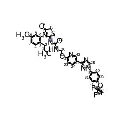 CCCc1ccc(C)cc1N1C(=O)CS/C1=N\C(=O)NCOc1ccc(-c2ncn(-c3ccc(OC(F)(F)F)cc3)n2)cn1